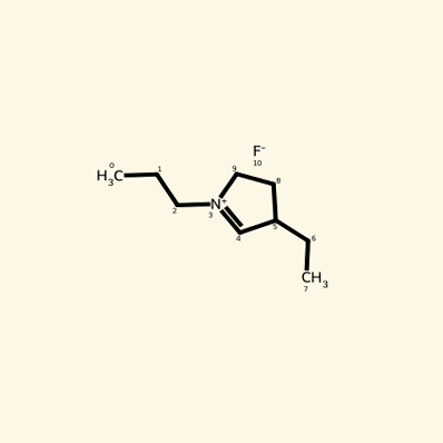 CCC[N+]1=CC(CC)CC1.[F-]